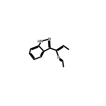 CC=N/C(=C\C)c1n[nH]c2ccccc12